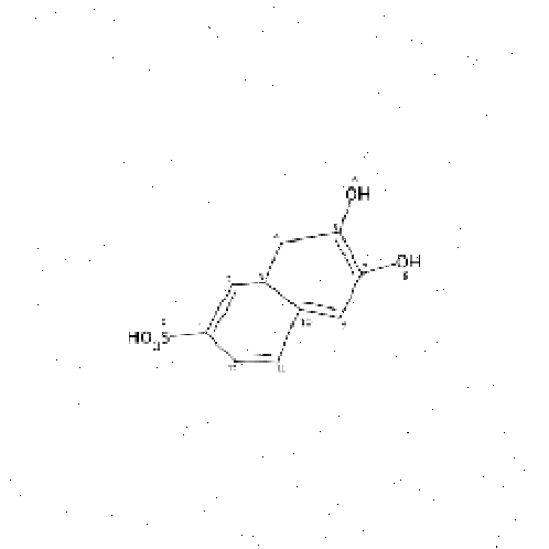 O=S(=O)(O)C1=CC2CC(O)=C(O)C=C2C=C1